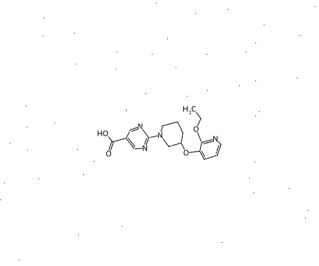 CCOc1ncccc1OC1CCCN(c2ncc(C(=O)O)cn2)C1